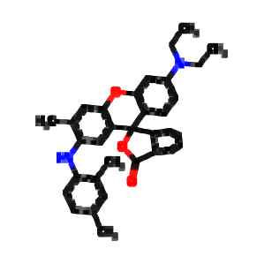 CCN(CC)c1ccc2c(c1)Oc1cc(C)c(Nc3ccc(C)cc3C)cc1C21OC(=O)c2ccccc21